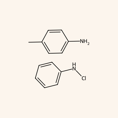 Cc1ccc(N)cc1.ClNc1ccccc1